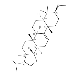 CO[C@H]1CC[C@]2(C)C3=CC[C@@]4(C)[C@@H]5CC[C@H](C(C)C)[C@@]5(C)CC[C@]4(C)[C@H]3CC[C@H]2C1(C)C